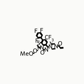 C=CC(=O)N1CCN(c2nc(=O)n3c4c(c(-c5cc(F)c(F)cc5F)c(C(F)(F)F)cc24)SC[C@H]3COCOC)[C@@H](C)C1